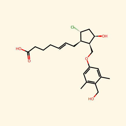 Cc1cc(OC[C@H]2[C@@H](CC=CCCCC(=O)O)[C@H](Cl)C[C@H]2O)cc(C)c1CO